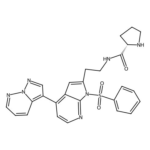 O=C(NCCc1cc2c(-c3cnn4ncccc34)ccnc2n1S(=O)(=O)c1ccccc1)[C@@H]1CCCN1